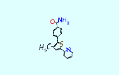 Cc1cc(-c2ccccn2)sc1-c1ccc(C(N)=O)cc1